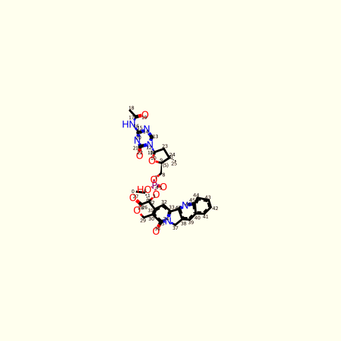 CC[C@@]1(OP(=O)(O)OC[C@H]2O[C@@H](n3cnc(NC(C)=O)nc3=O)C[C@@H]2C)C(=O)OCc2c1cc1n(c2=O)Cc2cc3ccccc3nc2-1